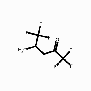 CC(CC(=O)C(F)(F)F)C(F)(F)F